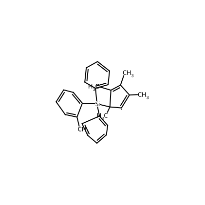 CC1=[C]C(C)([Si](c2ccccc2)(c2ccccc2)c2ccccc2C)C(C)=C1C